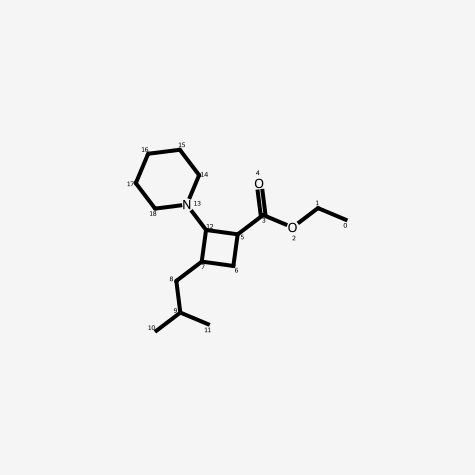 CCOC(=O)C1CC(CC(C)C)C1N1CCCCC1